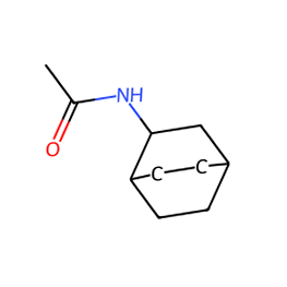 CC(=O)NC1CC2CCC1CC2